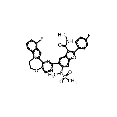 CNC(=O)c1c(-c2ccc(F)cc2)oc2cc(N(C)S(C)(=O)=O)c(-c3ncc4c(n3)-c3cc5c(F)cccc5n3CCO4)cc12